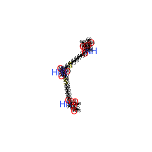 C=CC(=O)OCC(C)(COC(=O)C=C)NC(=O)OCCCCCCCCCSCCCn1c(=O)[nH]c(=O)n(CCCSCCCCCCCCCOC(=O)NC(C)(COC(=O)C=C)COC(=O)C=C)c1=O